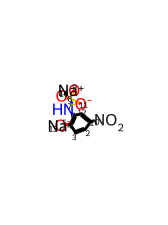 O=[N+]([O-])c1ccc([O-])c(NS(=O)(=O)[O-])c1.[Na+].[Na+]